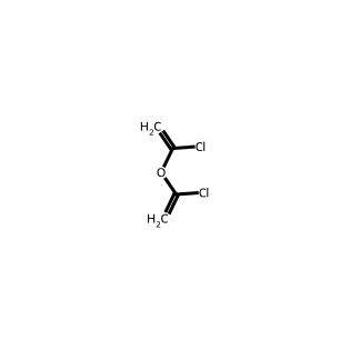 C=C(Cl)OC(=C)Cl